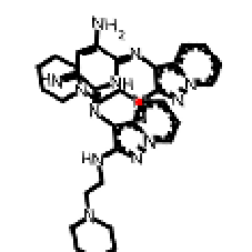 N=C1C=C(N)/C(=N/c2c(NCCN3CCCCC3)nn3ccccc23)N/C1=N\c1c(NCCN2CCCCC2)nn2ccccc12